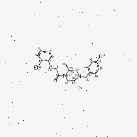 CCc1ccccc1OCC(=O)N1C[C@@H](C)N(Cc2ccc(F)cc2)C[C@@H]1C